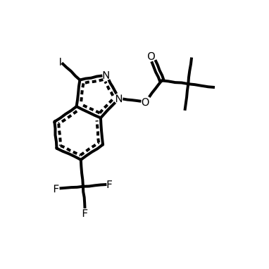 CC(C)(C)C(=O)On1nc(I)c2ccc(C(F)(F)F)cc21